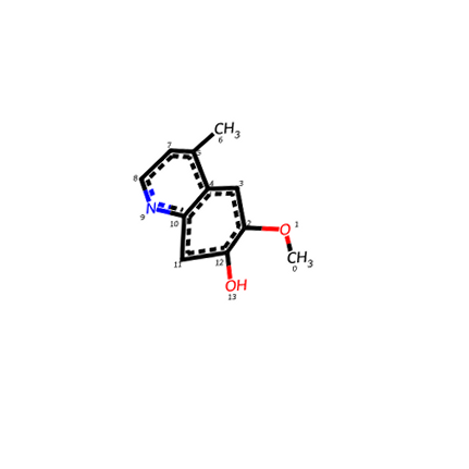 COc1cc2c(C)ccnc2cc1O